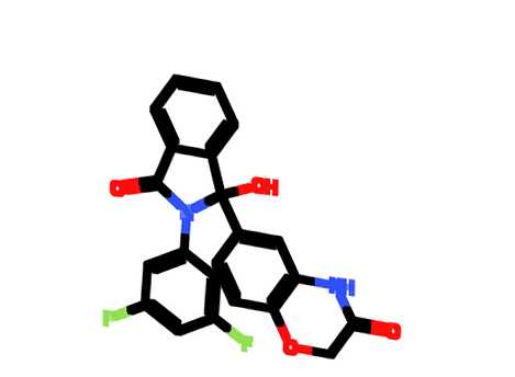 O=C1COc2ccc(C3(O)c4ccccc4C(=O)N3c3cc(F)cc(F)c3)cc2N1